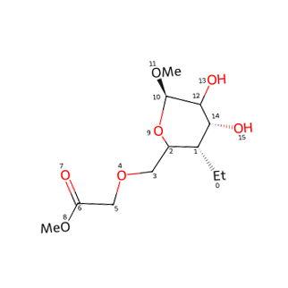 CC[C@@H]1C(COCC(=O)OC)O[C@@H](OC)C(O)[C@@H]1O